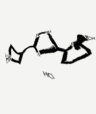 Cc1cccc(-c2nc(C3CNC3)n[nH]2)n1.Cl